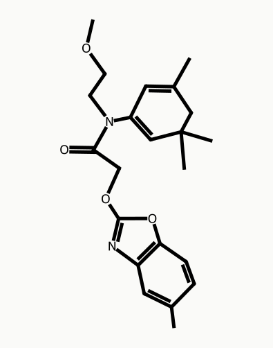 COCCN(C(=O)COc1nc2cc(C)ccc2o1)C1=CC(C)(C)CC(C)=C1